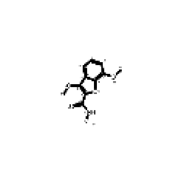 COc1c(C(=O)NN)oc2c(OC)cccc12